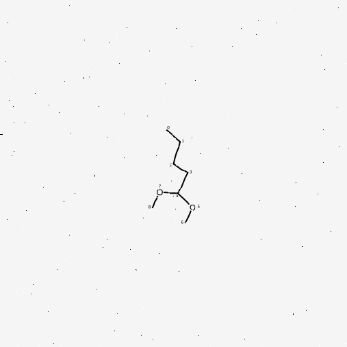 CCCCC(OC)OC